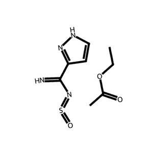 CCOC(C)=O.N=C(N=S=O)c1cc[nH]n1